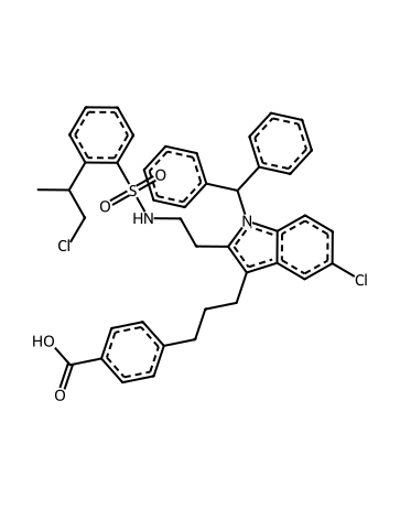 CC(CCl)c1ccccc1S(=O)(=O)NCCc1c(CCCc2ccc(C(=O)O)cc2)c2cc(Cl)ccc2n1C(c1ccccc1)c1ccccc1